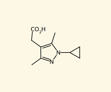 Cc1nn(C2CC2)c(C)c1CC(=O)O